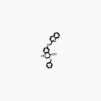 O[C@@H]1c2cc(OCc3ccc4ccccc4n3)ccc2NC[C@H]1Cc1ccccc1